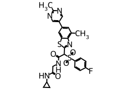 Cc1ncc(-c2cc(C)c3nc(C(C(=O)NCC(=O)NC4CC4)S(=O)(=O)c4ccc(F)cc4)sc3c2)cn1